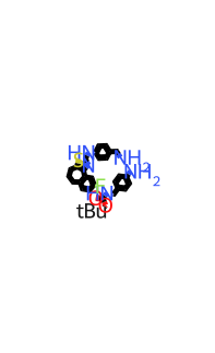 CC(C)(C)OC(=O)NCc1ccc(N)cc1.NCc1ccc(Nc2nc3c(s2)CCCc2ccc(F)cc2-3)cc1